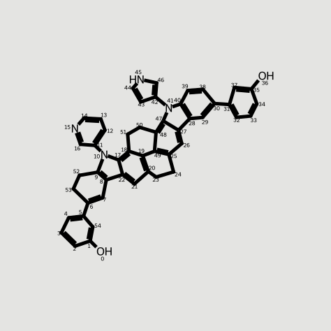 Oc1cccc(C2=Cc3c(n(-c4cccnc4)c4c5c6c(cc34)CCc3cc4c7cc(-c8cccc(O)c8)ccc7n(-c7cc[nH]c7)c4c(c3-6)CC5)CC2)c1